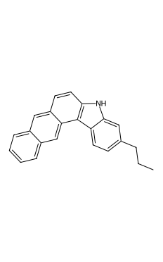 CCCc1ccc2c(c1)[nH]c1ccc3cc4ccccc4cc3c12